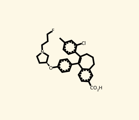 Cc1ccc(C2=C(c3ccc(O[C@H]4CCN(CCCF)C4)cc3)c3ccc(C(=O)O)cc3CCC2)c(Cl)c1